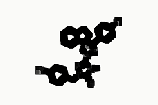 CCc1ccc(Cn2nc(N3C[C@]4(CCc5ccccc54)C(c4ccc(Cl)cc4)=N3)n(C)c2=O)cc1